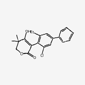 CCc1cc(-c2ccccc2)cc(Cl)c1C1=C(O)C(C)(C)COC1=O